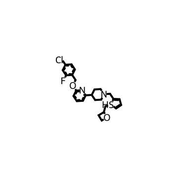 Fc1cc(Cl)ccc1COc1cccc(C2CCN(CC3=CC=C[SH]3CC3CCO3)CC2)n1